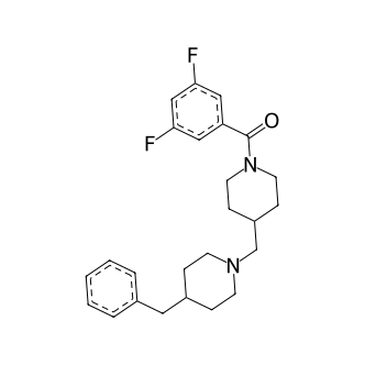 O=C(c1cc(F)cc(F)c1)N1CCC(CN2CCC(Cc3ccccc3)CC2)CC1